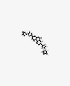 c1cn(-c2ccc(-c3cnc4c(ccc5cc(-c6ccc(-n7ccnc7)s6)cnc54)c3)s2)cn1